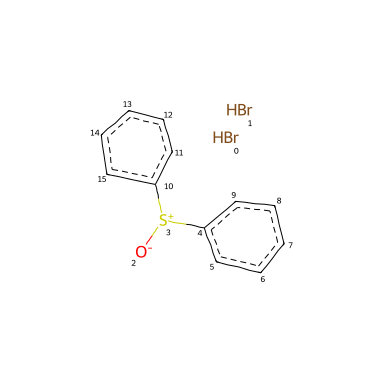 Br.Br.[O-][S+](c1ccccc1)c1ccccc1